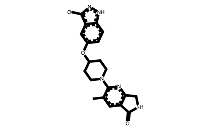 Cc1cc2c(nc1N1CCC(Oc3ccc4[nH]nc(Cl)c4c3)CC1)CNC2=O